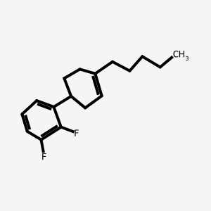 CCCCCC1=CCC(c2cccc(F)c2F)CC1